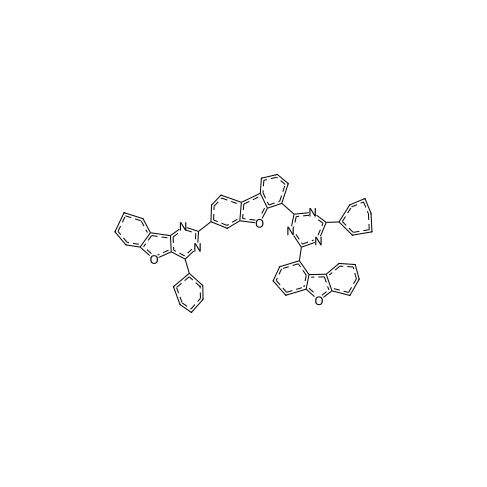 c1ccc(-c2nc(-c3cccc4c3oc3cc(-c5nc(-c6ccccc6)c6oc7ccccc7c6n5)ccc34)nc(-c3cccc4oc5ccccc5c34)n2)cc1